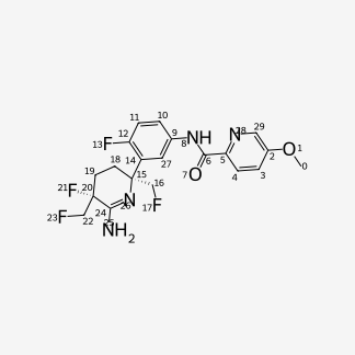 COc1ccc(C(=O)Nc2ccc(F)c([C@]3(CF)CC[C@](F)(CF)C(N)=N3)c2)nc1